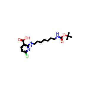 CC(C)(C)OC(=O)NCCCCCCCNc1nc(Cl)ccc1C(=O)O